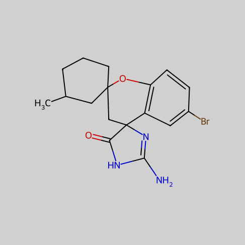 CC1CCCC2(C1)CC1(N=C(N)NC1=O)c1cc(Br)ccc1O2